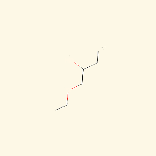 COCC(O)COCC(C)(C)C